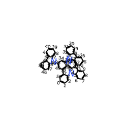 c1ccc(-n2c3ccccc3c3ccncc32)c(-c2cc(-n3c4ccccc4c4ccccc43)cc(-n3c4ccccc4c4ccccc43)c2)c1